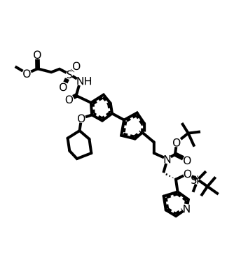 COC(=O)CCS(=O)(=O)NC(=O)c1ccc(-c2ccc(CCN(C[C@H](O[Si](C)(C)C(C)(C)C)c3cccnc3)C(=O)OC(C)(C)C)cc2)cc1OC1CCCCC1